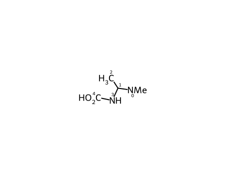 CNC(C)NC(=O)O